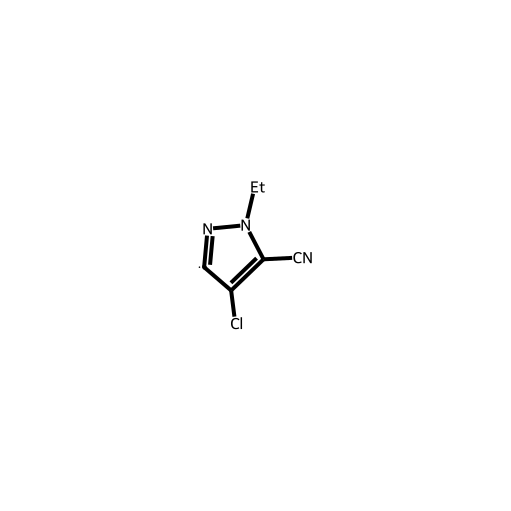 CCn1n[c]c(Cl)c1C#N